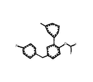 Cc1cccc(-c2cc(Cc3ccc(F)cc3)ccc2OC(F)F)c1